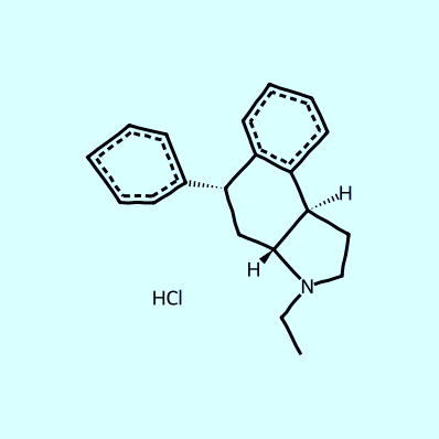 CCN1CC[C@@H]2c3ccccc3[C@@H](c3ccccc3)C[C@H]21.Cl